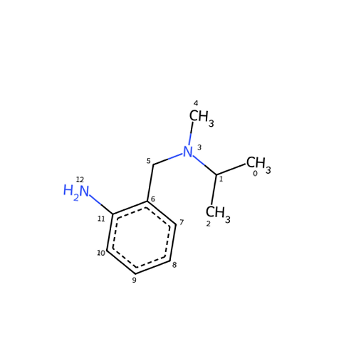 CC(C)N(C)Cc1ccccc1N